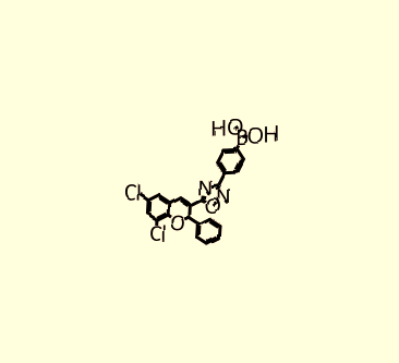 OB(O)c1ccc(-c2noc(C3=Cc4cc(Cl)cc(Cl)c4OC3c3ccccc3)n2)cc1